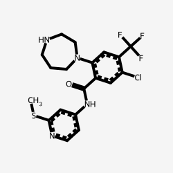 CSc1cc(NC(=O)c2cc(Cl)c(C(F)(F)F)cc2N2CCCNCC2)ccn1